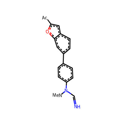 CNN(C=N)c1ccc(-c2ccc3cc(C(C)=O)oc3c2)cc1